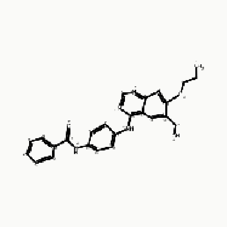 CCCOc1cc2ncnc(Nc3ccc(NC(=O)c4ccccc4)cc3)c2cc1CO